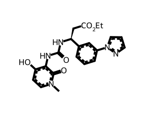 CCOC(=O)C[C@H](NC(=O)Nc1c(O)ccn(C)c1=O)c1cccc(-n2cccn2)c1